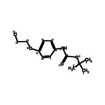 CC(C)(C)OC(=O)Nc1ccc(OCCCl)cc1